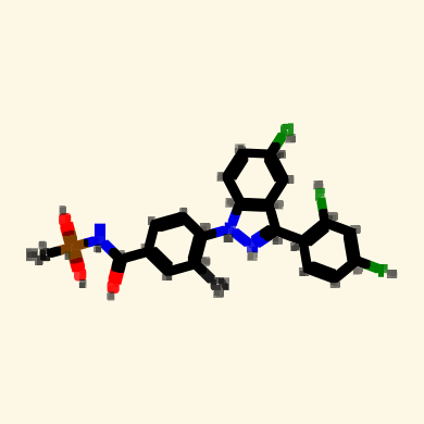 CS(=O)(=O)NC(=O)c1ccc(-n2nc(-c3ccc(F)cc3F)c3cc(Cl)ccc32)c(C#N)c1